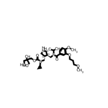 COCCCOc1cc(C(=O)N(C[C@@H]2CNC[C@H]2CN(C(=O)OCC(C)(CO)CO)C2CC2)C(C)C)ccc1OC